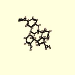 COc1ccc2c(n1)CCN(c1ncnn3c(C)nc(-c4ccccc4F)c13)C2